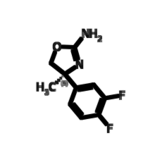 C[C@]1(c2ccc(F)c(F)c2)COC(N)=N1